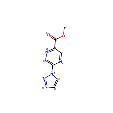 COC(=O)c1cnc(-n2ccnn2)cn1